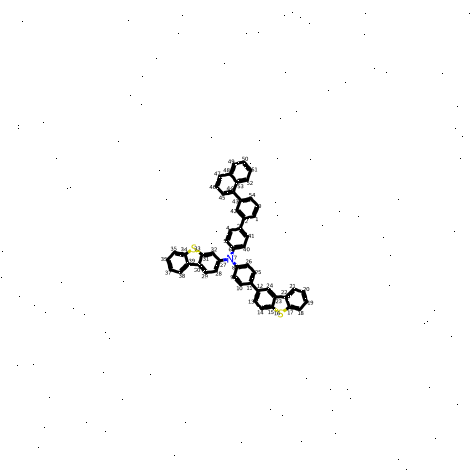 c1cc(-c2ccc(N(c3ccc(-c4ccc5sc6ccccc6c5c4)cc3)c3ccc4c(c3)sc3ccccc34)cc2)cc(-c2cccc3ccccc23)c1